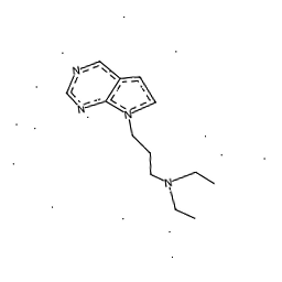 CCN(CC)CCCn1ccc2cncnc21